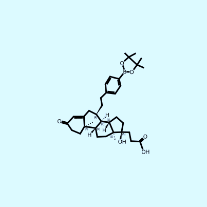 CC1(C)OB(c2ccc(CC[C@@H]3CC4=CC(=O)CC[C@]4(C)[C@H]4CC[C@@]5(C)[C@@H](CC[C@]5(O)CCC(=O)O)[C@H]34)cc2)OC1(C)C